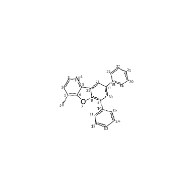 Ic1ccnc2c1oc1c(-c3ccccc3)cc(-c3ccccc3)cc12